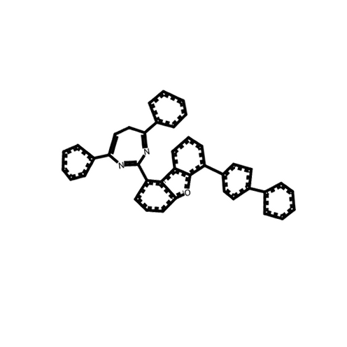 C1=C(c2ccccc2)N=C(c2cccc3oc4c(-c5ccc(-c6ccccc6)cc5)cccc4c23)N=C(c2ccccc2)C1